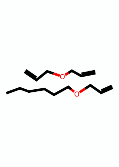 C=CCOCC=C.C=CCOCCCCCC